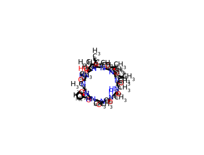 C/C=C/C[C@@H](C)[C@@H](O)[C@H]1C(=O)N[C@@H](CC)C(=O)N(C)CC(=O)N(C)[C@@H](Cc2ccccc2)C(=O)N[C@@H](C)C(=O)N(C)CC(=O)N[C@@H](C)C(=O)N[C@H](C)C(=O)N(C)[C@@H](CC(C)C)C(=O)N(C)[C@@H](CC(C)C)C(=O)N(C)[C@@H](C(C)C)C(=O)N1C